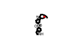 CCN1C2CCC1c1c(n(C)c3ccc(S(=O)(=O)c4ccc5[nH]ccc5c4)cc13)C2